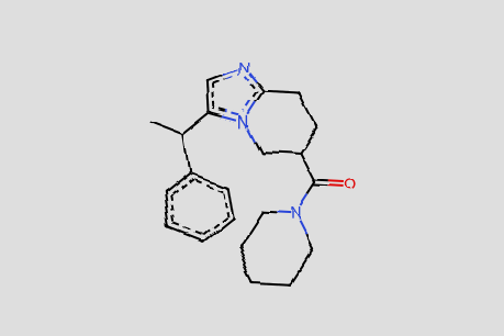 CC(c1ccccc1)c1cnc2n1CC(C(=O)N1CCCCC1)CC2